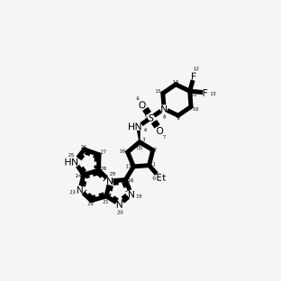 CCC1C[C@H](NS(=O)(=O)N2CCC(F)(F)CC2)CC1c1nnc2cnc3[nH]ccc3n12